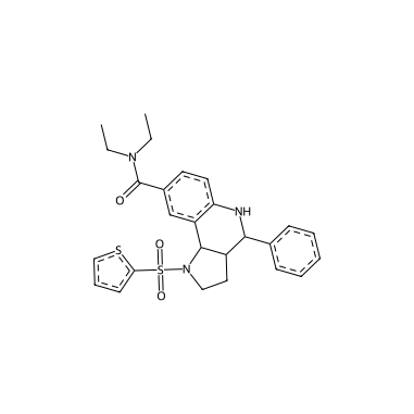 CCN(CC)C(=O)c1ccc2c(c1)C1C(CCN1S(=O)(=O)c1cccs1)C(c1ccccc1)N2